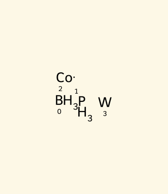 B.P.[Co].[W]